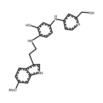 COc1ccc2c(CCNc3ccc(Nc4ccnc(CO)c4)cc3O)c[nH]c2c1